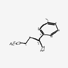 CC(=O)OCCC(Cl)c1ccccc1